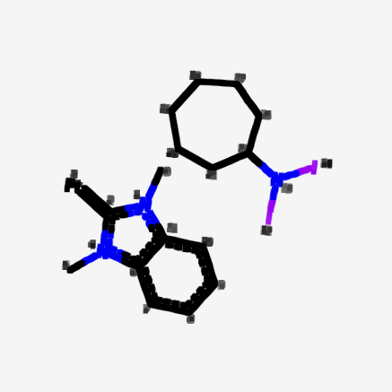 Cn1[c](=[Pt])n(C)c2ccccc21.IN(I)C1CCCCCC1